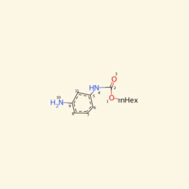 CCCCCCOC(=O)Nc1cccc(N)c1